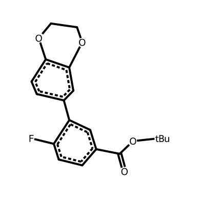 CC(C)(C)OC(=O)c1ccc(F)c(-c2ccc3c(c2)OCCO3)c1